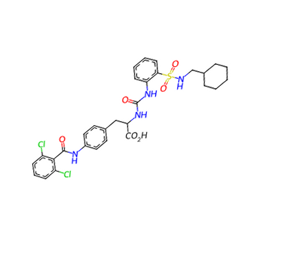 O=C(Nc1ccccc1S(=O)(=O)NCC1CCCCC1)NC(Cc1ccc(NC(=O)c2c(Cl)cccc2Cl)cc1)C(=O)O